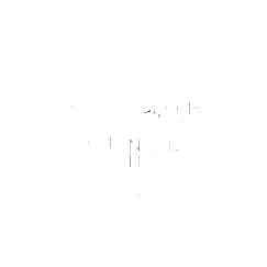 Cc1ccccc1[C@H](NC(=O)C1CC1)C(=O)O